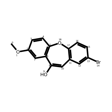 COc1ccc2c(c1)C(O)=Cc1cc(Br)ccc1O2